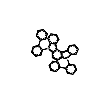 c1ccc(-c2ccccc2-n2c3ccccc3c3c4c5ccccc5n(-c5ccccc5-c5ccccc5)c4ccc32)cc1